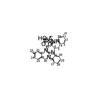 Cc1ccc(CC(CNC(=O)O)n2/c(=N\C(=O)OC(C)(C)C)n(Cc3ccc(C)cc3)c3ccccc32)cc1